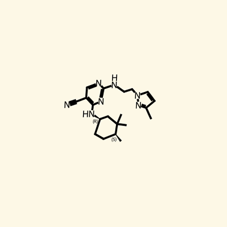 Cc1ccn(CCNc2ncc(C#N)c(N[C@@H]3CC[C@H](C)C(C)(C)C3)n2)n1